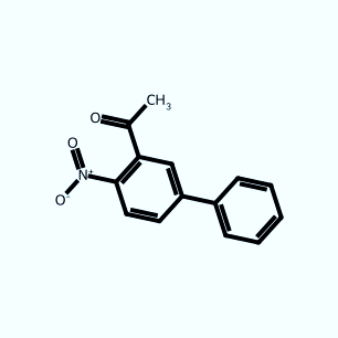 CC(=O)c1cc(-c2ccccc2)ccc1[N+](=O)[O-]